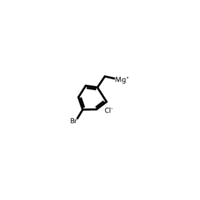 [Cl-].[Mg+][CH2]c1ccc(Br)cc1